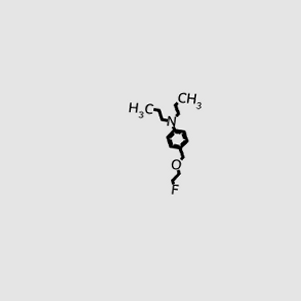 CCCN(CCC)c1ccc(COCCF)cc1